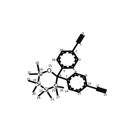 C#Cc1ccc(C2(c3ccc(C#C)cc3)O[Si](C)(C)[Si](C)(C)[Si](C)(C)[Si]2(C)C)cc1